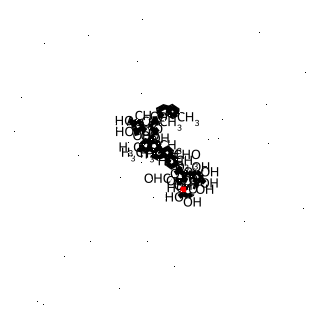 CC(=O)OC1C(OC(=O)/C=C\c2ccc(C)cc2)C(C)OC(OC(=O)[C@]23CCC(C)(C)C[C@H]2C2C=C[C@@H]4[C@@]5(C)CC[C@H](OC6OC(OC=O)C(O)C(OC7OCC(O)C(O)C7O)C6OC6OC(CO)C(O)C(O)C6O)[C@@](C)(C=O)[C@@H]5CC[C@@]4(C)[C@]2(C)C[C@H]3O)C1OC1CC(C)C(O)C(O)C1O